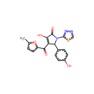 Cc1ccc(C(=O)C2=C(O)C(=O)N(c3nncs3)C2c2ccc(O)cc2)o1